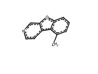 Cc1cccc2oc3cnccc3c12